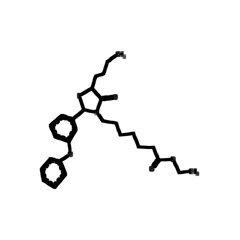 CCCCC1SC(c2cccc(Oc3ccccc3)c2)N(CCCCCCC(=O)OCC)C1=O